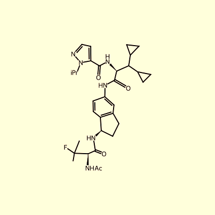 CC(=O)N[C@H](C(=O)N[C@@H]1CCc2cc(NC(=O)[C@@H](NC(=O)c3ccnn3C(C)C)C(C3CC3)C3CC3)ccc21)C(C)(C)F